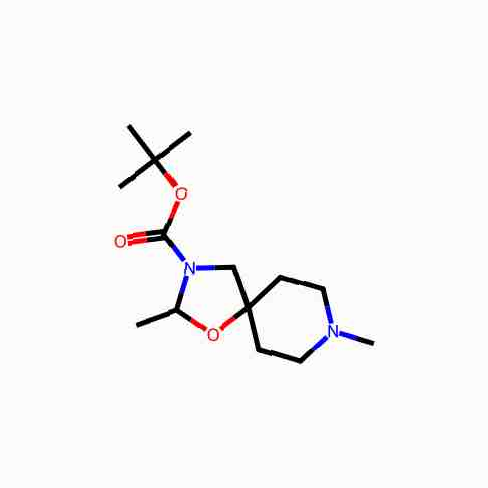 CC1OC2(CCN(C)CC2)CN1C(=O)OC(C)(C)C